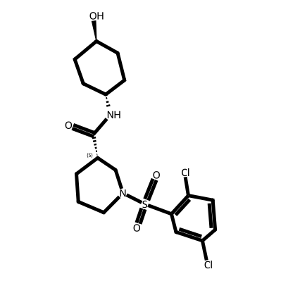 O=C(N[C@H]1CC[C@H](O)CC1)[C@H]1CCCN(S(=O)(=O)c2cc(Cl)ccc2Cl)C1